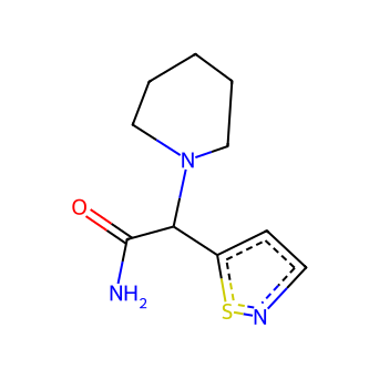 NC(=O)C(c1ccns1)N1CCCCC1